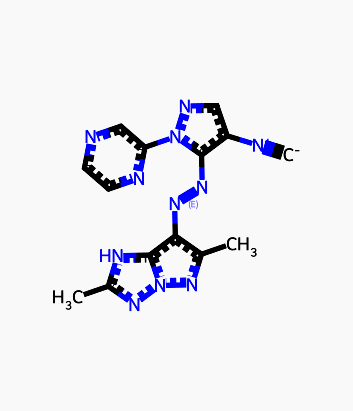 [C-]#[N+]c1cnn(-c2cnccn2)c1/N=N/c1c(C)nn2nc(C)[nH]c12